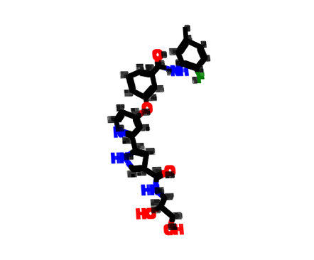 Cc1ccc(F)c(NC(=O)c2cccc(Oc3ccnc(-c4cc(C(=O)NCC(O)CO)c[nH]4)c3)c2)c1